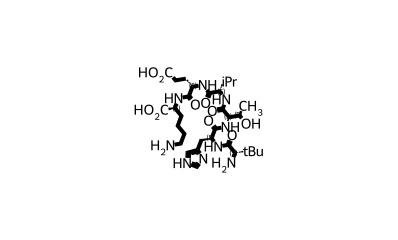 CC(C)[C@H](NC(=O)[C@@H](NC(=O)[C@H](Cc1c[nH]cn1)NC(=O)[C@@H](N)C(C)(C)C)[C@@H](C)O)C(=O)N[C@@H](CCC(=O)O)C(=O)N[C@@H](CCCCN)C(=O)O